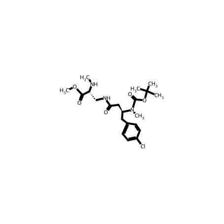 CN[C@H](CNC(=O)C[C@H](Cc1ccc(Cl)cc1)N(C)C(=O)OC(C)(C)C)C(=O)OC